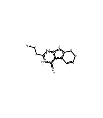 [2H]CCc1nc2sc3c(c2c(=O)[nH]1)C=CCC3